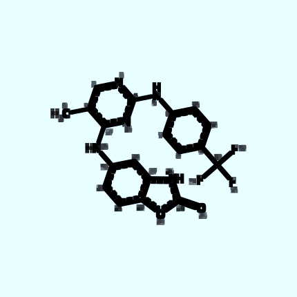 Cc1cnc(Nc2ccc(C(F)(F)F)cc2)nc1Nc1ccc2oc(=O)[nH]c2c1